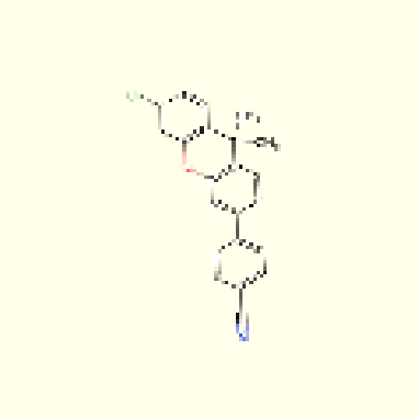 CC1(C)c2ccc(Cl)cc2Oc2cc(-c3ccc(C#N)cc3)ccc21